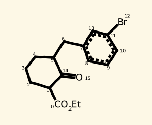 CCOC(=O)C1CCCC(Cc2cccc(Br)c2)C1=O